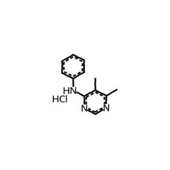 Cc1ncnc(Nc2ccccc2)c1C.Cl